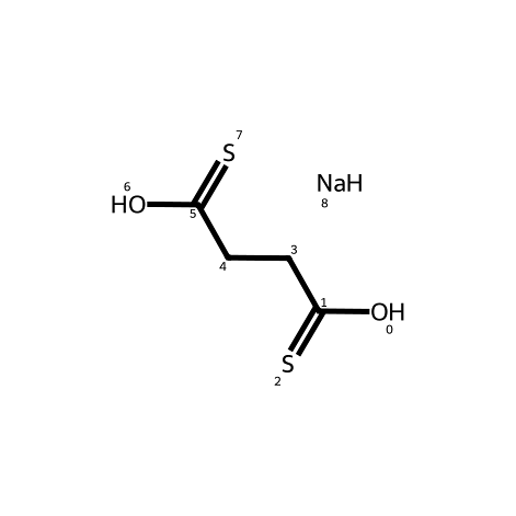 OC(=S)CCC(O)=S.[NaH]